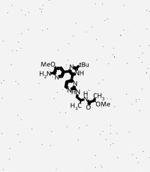 COc1cc(-c2nc(C(C)(C)C)[nH]c2-c2ccnc(NC[C@H](C)NC(=O)[C@H](C)OC)n2)cnc1N